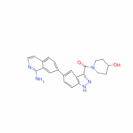 Nc1nccc2ccc(-c3ccc4[nH]nc(C(=O)N5CCC(O)CC5)c4c3)cc12